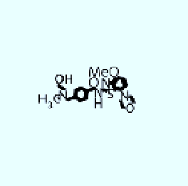 COc1ccc(N2CCOCC2)c2sc(NC(=O)c3ccc(CN(C)CCO)cc3)nc12